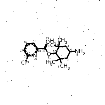 CC1(C)CC(N)CC(C)(C)C1OC(=O)c1cccc(Cl)n1